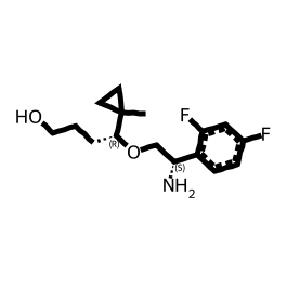 CC1([C@@H](CCCO)OC[C@@H](N)c2ccc(F)cc2F)CC1